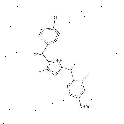 CC(=O)Nc1ccc(C(C)c2cc(C)c(C(=O)c3ccc(Cl)cc3)[nH]2)c(F)c1